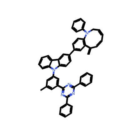 C=C1/C=C\C=C/CN(c2ccccc2)c2ccc(-c3ccc4c(c3)c3ccccc3n4-c3cc(C)cc(-c4nc(-c5ccccc5)nc(-c5ccccc5)n4)c3)cc21